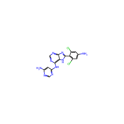 Nc1cc(Cl)c(-c2nc3ncnc(Nc4cc(N)ncn4)c3[nH]2)c(Cl)c1